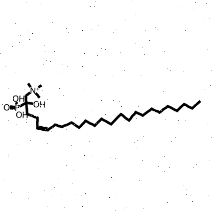 CCCCCCCCCCCCCCCCCCC/C=C\CCC(O)(C[N+](C)(C)C)P(=O)(O)O